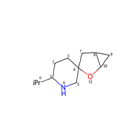 CC(C)C1CCC2(CN1)CC1CC1O2